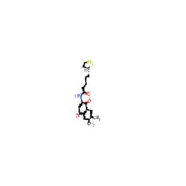 Cc1cc2c(cc1C)C(=O)C(NC(=O)CCCC[C@@H]1CCSS1)=CC2=O